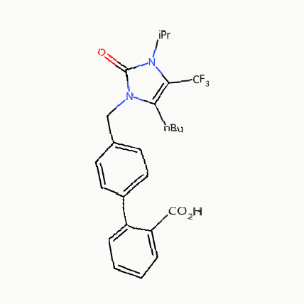 CCCCc1c(C(F)(F)F)n(C(C)C)c(=O)n1Cc1ccc(-c2ccccc2C(=O)O)cc1